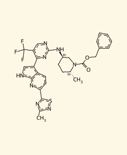 Cc1nsc(-c2ccc3c(-c4nc(N[C@@H]5CC[C@@H](C)N(C(=O)OCc6ccccc6)C5)ncc4C(F)(F)F)c[nH]c3n2)n1